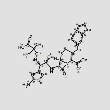 CC(C)(O/N=C(\C(=O)NC1C(=O)N2C(C(=O)[O-])=C(C[n+]3ccc4ccsc4c3)CS[C@H]12)c1csc(N)n1)C(=O)O